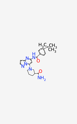 CC(C)(C)c1ccc(C(=O)Nc2cc(N3CCCC(C(N)=O)C3)n3nccc3n2)cc1